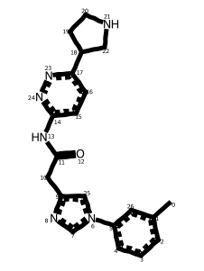 Cc1cccc(-n2cnc(CC(=O)Nc3ccc(C4CCNC4)nn3)c2)c1